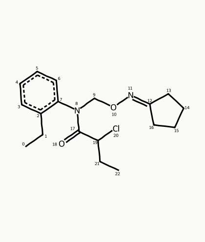 CCc1ccccc1N(CON=C1CCCC1)C(=O)C(Cl)CC